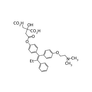 CC/C(=C(/c1ccc(OCCN(C)C)cc1)c1ccc(OC(=O)CC(O)(CC(=O)O)C(=O)O)cc1)c1ccccc1